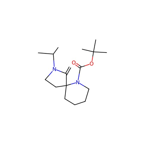 C=C1N(C(C)C)CCC12CCCCN2C(=O)OC(C)(C)C